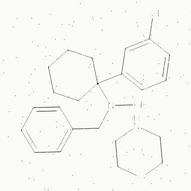 C1COCCN1.CN(Cc1ccccc1)C1(c2cccc(O)c2)CCCCC1